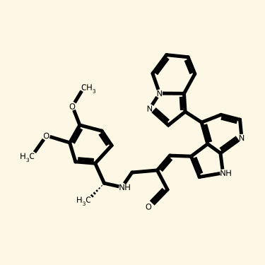 COc1ccc([C@@H](C)NC/C(C=O)=C/c2c[nH]c3nccc(-c4cnn5ccccc45)c23)cc1OC